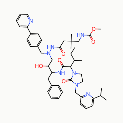 CCC(C)C(C(=O)NC(Cc1ccccc1)C(O)CN(Cc1ccc(-c2ccccn2)cc1)NC(=O)CC(C)(C)CNC(=O)OC)N1CCN(Cc2cccc(C(C)C)n2)C1=O